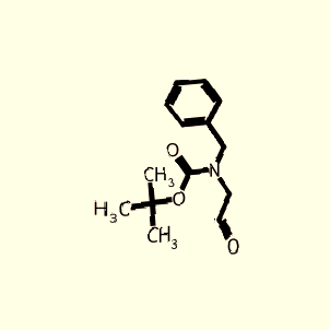 CC(C)(C)OC(=O)N(C[C]=O)Cc1ccccc1